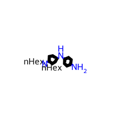 CCCCCCN(CCCCCC)c1ccc(Nc2ccc(N)cc2)cc1